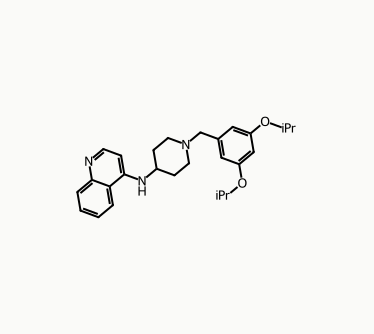 CC(C)Oc1cc(CN2CCC(Nc3ccnc4ccccc34)CC2)cc(OC(C)C)c1